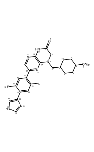 CO[C@H]1CC[C@@H](CN2CC(=O)Nc3ncc(-c4cc(F)c(-c5nc[nH]n5)cc4C)nc32)CC1